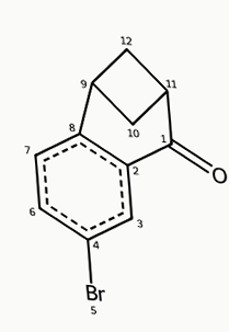 O=C1c2cc(Br)ccc2C2CC1C2